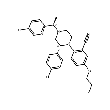 CCCOc1ccc(N2CCN([C@H](C)c3ccc(Cl)cn3)C[C@H]2c2ccc(Cl)cc2)c(C#N)c1